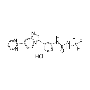 Cl.O=C(NCC(F)(F)F)Nc1cccc(-c2cnc3cc(-c4ncccn4)ccn23)c1